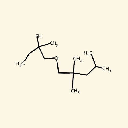 CCC(C)(S)COCC(C)(C)CC(C)C